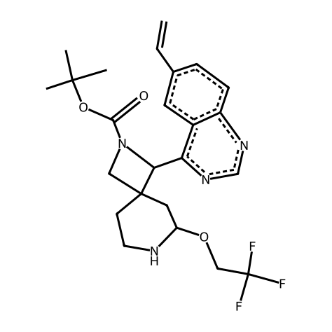 C=Cc1ccc2ncnc(C3N(C(=O)OC(C)(C)C)CC34CCNC(OCC(F)(F)F)C4)c2c1